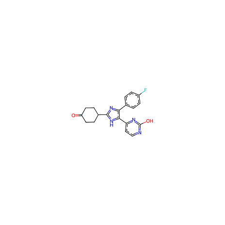 O=C1CCC(c2nc(-c3ccc(F)cc3)c(-c3ccnc(O)n3)[nH]2)CC1